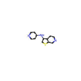 c1cc(Nc2csc3cnccc23)ccn1